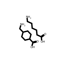 NCC1CCC(C(=O)O)CC1.NCCCCCC(=O)O